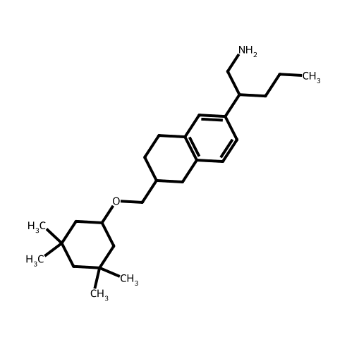 CCCC(CN)c1ccc2c(c1)CCC(COC1CC(C)(C)CC(C)(C)C1)C2